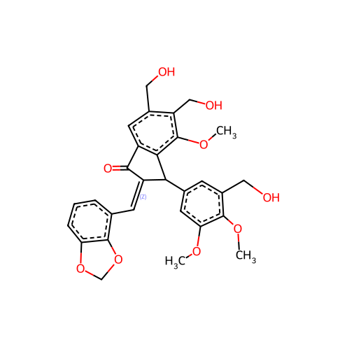 COc1cc(C2/C(=C/c3cccc4c3OCO4)C(=O)c3cc(CO)c(CO)c(OC)c32)cc(CO)c1OC